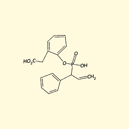 C=CC(c1ccccc1)P(=O)(O)Oc1ccccc1CC(=O)O